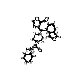 O=C1OC=NC1=C(c1cccc2cocc12)N1CCN(C(=O)Nc2ccccc2)CC1